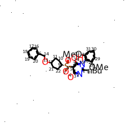 CCCCc1nc(=O)c(S(=O)(=O)[C@H]2CC[C@H](OCc3ccccc3)CC2)c(O)n1-c1c(OC)cccc1OC